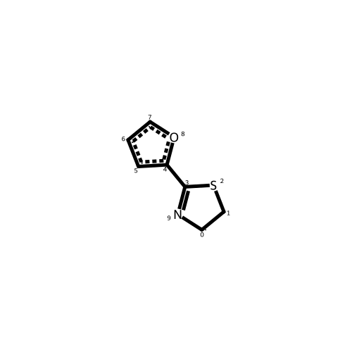 [CH]1CSC(c2ccco2)=N1